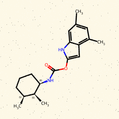 Cc1cc(C)c2cc(OC(=O)N[C@@H]3CCC[C@H](C)[C@@H]3C)[nH]c2c1